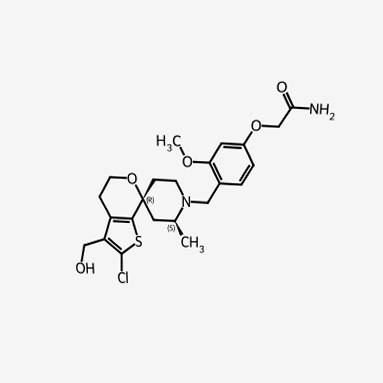 COc1cc(OCC(N)=O)ccc1CN1CC[C@]2(C[C@@H]1C)OCCc1c2sc(Cl)c1CO